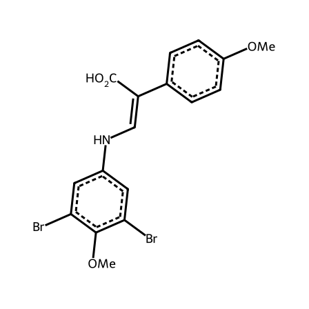 COc1ccc(C(=CNc2cc(Br)c(OC)c(Br)c2)C(=O)O)cc1